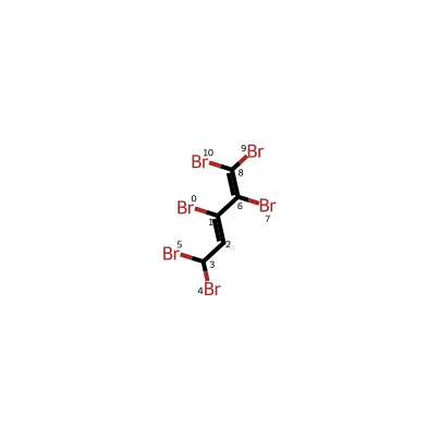 BrC(=CC(Br)Br)C(Br)=C(Br)Br